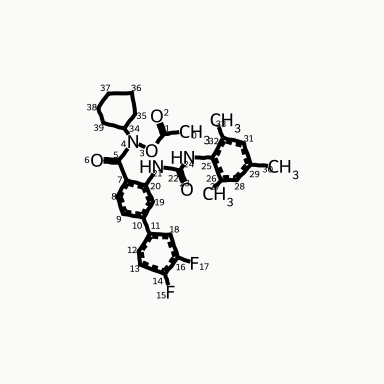 CC(=O)ON(C(=O)c1ccc(-c2ccc(F)c(F)c2)cc1NC(=O)Nc1c(C)cc(C)cc1C)C1CCCCC1